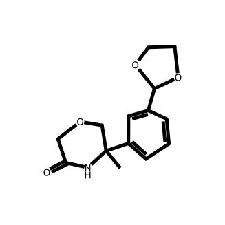 CC1(c2cccc(C3OCCO3)c2)COCC(=O)N1